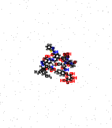 COCCN(CCOC12CC3(C)CC(C)(CC(Cn4ncc(-c5ccc(N6CCc7c(OC)ccc(C(=O)Nc8nc9ccccc9s8)c7C6)nc5C(=O)O)c4C)(C3)C1)C2)C(=O)OC/C=C/c1ccc(O[C@@H]2O[C@H](C(=O)O)[C@@H](O)[C@H](O)[C@H]2O)c(NC(=O)CCNC(=O)[C@H](CS(=O)(=O)O)NC(=O)CN2C(=O)C=CC2=O)c1